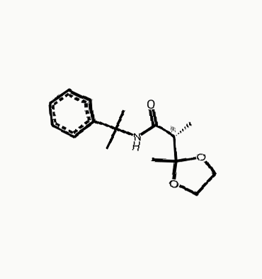 C[C@@H](C(=O)NC(C)(C)c1ccccc1)C1(C)OCCO1